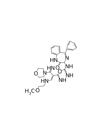 COCCN/C=C(/C(=N)OC(=N)NC1N=C(c2ccccc2)c2ccccc2NC1=O)C(=N)N1CCOCC1